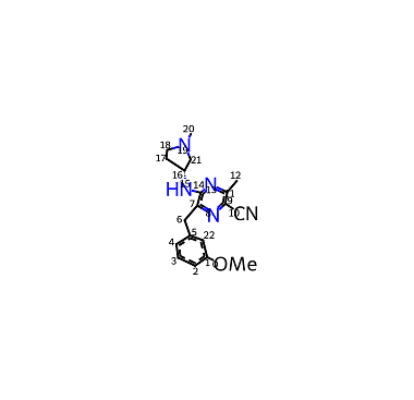 COc1cccc(Cc2nc(C#N)c(C)nc2N[C@@H]2CCN(C)C2)c1